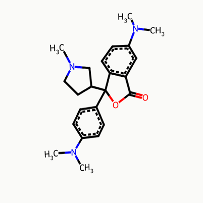 CN1CCC(C2(c3ccc(N(C)C)cc3)OC(=O)c3cc(N(C)C)ccc32)C1